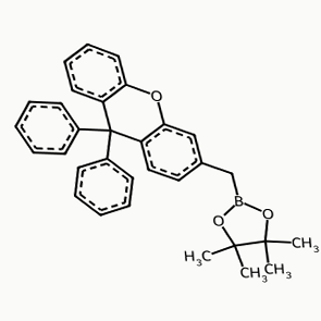 CC1(C)OB(Cc2ccc3c(c2)Oc2ccccc2C3(c2ccccc2)c2ccccc2)OC1(C)C